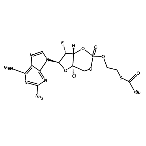 CNc1nc(N)nc2c1ncn2[C@@H]1O[C@]2(Cl)COP(=O)(OCCSC(=O)C(C)(C)C)O[C@H]2[C@H]1F